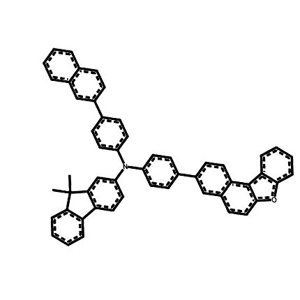 CC1(C)c2ccccc2-c2ccc(N(c3ccc(-c4ccc5ccccc5c4)cc3)c3ccc(-c4ccc5c(ccc6oc7ccccc7c65)c4)cc3)cc21